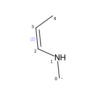 [CH2]N/C=C\C